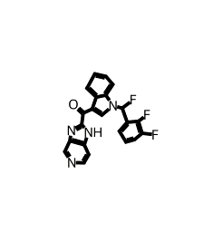 O=C(c1nc2cnccc2[nH]1)c1cn(C(F)c2cccc(F)c2F)c2ccccc12